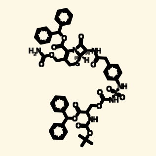 CC(C)(C)OC(=O)NC(COC(=O)NS(=O)(=O)Nc1ccc(CC(=O)N[C@@H]2C(=O)N3C(C(=O)OC(c4ccccc4)c4ccccc4)=C(COC(N)=O)CS[C@H]23)cc1)C(=O)OC(c1ccccc1)c1ccccc1